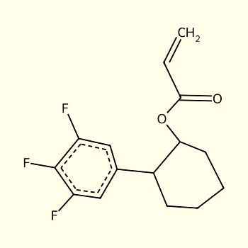 C=CC(=O)OC1CCCCC1c1cc(F)c(F)c(F)c1